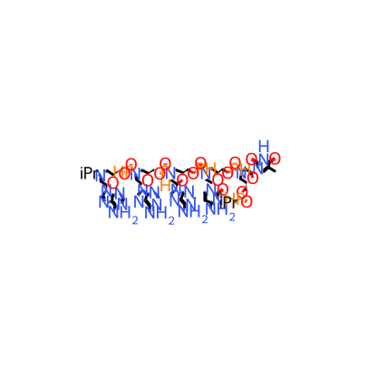 Cc1cn([C@H]2CN([PH](=O)OC[C@@H]3CN([PH](=O)OC[C@@H]4CN([PH](=O)OC[C@@H]5CN([PH](=O)OC[C@@H]6CN(C(C)C)C[C@H](n7cnc8c(N)ncnc87)O6)C[C@H](n6cnc7c(N)ncnc76)O5)C[C@H](n5cnc6c(N)ncnc65)O4)C[C@H](n4ccc(N)nc4=O)O3)C[C@@H](CO[PH](=O)C(C)C)O2)c(=O)[nH]c1=O